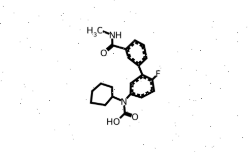 CNC(=O)c1cccc(-c2cc(N(C(=O)O)C3CCCCC3)ccc2F)c1